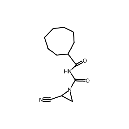 N#CC1CN1C(=O)NC(=O)C1CCCCCCC1